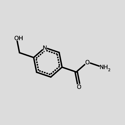 NOC(=O)c1ccc(CO)nc1